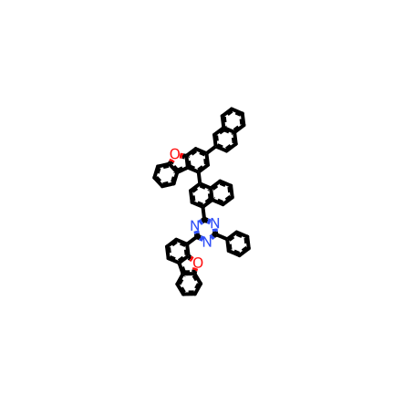 c1ccc(-c2nc(-c3ccc(-c4cc(-c5ccc6ccccc6c5)cc5oc6ccccc6c45)c4ccccc34)nc(-c3cccc4c3oc3ccccc34)n2)cc1